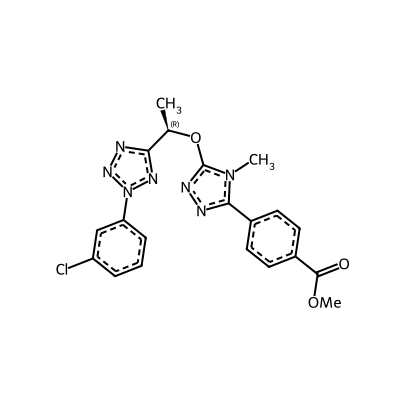 COC(=O)c1ccc(-c2nnc(O[C@H](C)c3nnn(-c4cccc(Cl)c4)n3)n2C)cc1